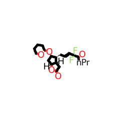 CCCC(=O)C(F)(F)C=CC[C@@H]1[C@H]2CC(=O)O[C@H]2C[C@H]1OC1CCCCO1